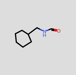 O=CNCC1CCCCC1